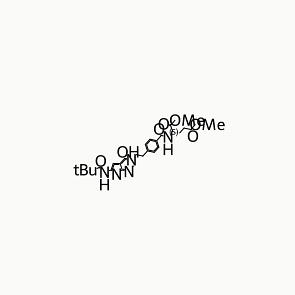 COC(=O)CC[C@H](NC(=O)c1ccc(CCn2cnc3nc(NC(=O)C(C)(C)C)cc-3c2O)cc1)C(=O)OC